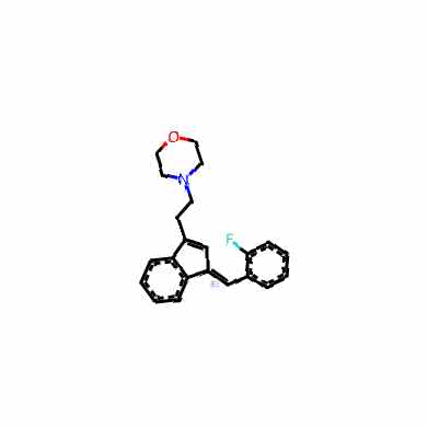 Fc1ccccc1/C=C1\C=C(CCN2CCOCC2)c2ccccc21